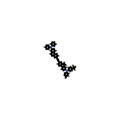 Cc1ccc(N(c2ccc(C(C)(C)C)cc2)c2ccc3c(c2)C(C)(C)c2cc(C#Cc4ccc5c(ccc6cc(N(c7ccccc7)c7ccccc7)ccc65)c4)ccc2-3)cc1